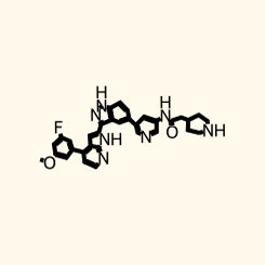 COc1cc(F)cc(-c2ccnc3[nH]c(-c4n[nH]c5ccc(-c6cncc(NC(=O)CC7CCNCC7)c6)cc45)cc23)c1